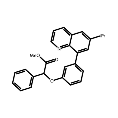 COC(=O)C(Oc1cccc(-c2cc(C(C)C)cc3cccnc23)c1)c1ccccc1